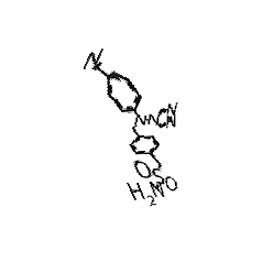 N#Cc1ccc(N(Cc2ccc(CS(N)(=O)=O)cc2)n2cnnc2)cc1